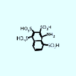 Nc1c(S(=O)(=O)O)c(S(=O)(=O)O)c(S(=O)(=O)O)c2cccc(S(=O)(=O)O)c12